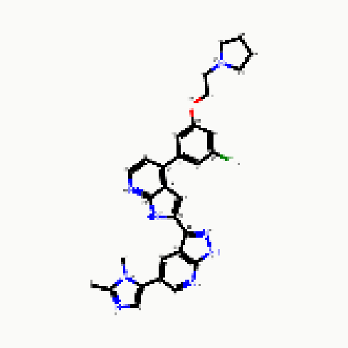 Cc1ncc(-c2cnc3[nH]nc(-c4cc5c(-c6cc(F)cc(OCCN7CCCC7)c6)ccnc5[nH]4)c3c2)n1C